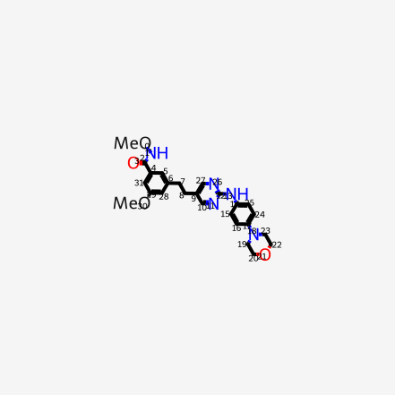 CONC(=O)c1cc(CCc2cnc(Nc3ccc(N4CCOCC4)cc3)nc2)cc(OC)c1